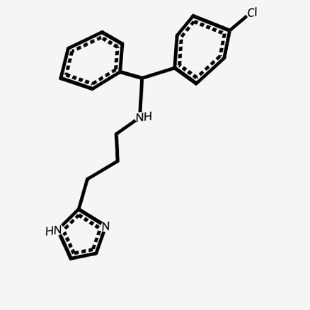 Clc1ccc(C(NCCCc2ncc[nH]2)c2ccccc2)cc1